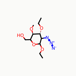 CCOC1OC(CO)[C@@H](OC)[C@H](OCC)C1N=[N+]=[N-]